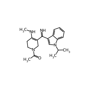 CNC1=C(C(=N)c2cn(C(C)C)c3ccccc23)CN(C(C)=O)CC1